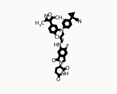 Cc1ccc(-c2c(C)noc2C)cc1N(CCCNc1cc2c(cc1F)CN(C1CCC(=O)NC1=O)C2=O)c1ccc(C2(C#N)CC2)cc1